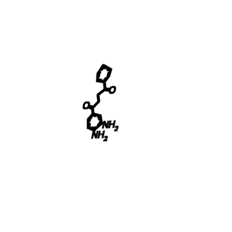 Nc1ccc(C(=O)CCC(=O)c2ccccc2)cc1N